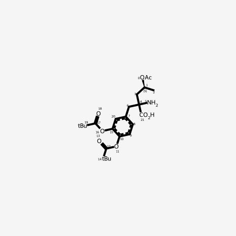 CC(=O)O[C@@H](C)CC(N)(Cc1ccc(OC(=O)C(C)(C)C)c(OC(=O)C(C)(C)C)c1)C(=O)O